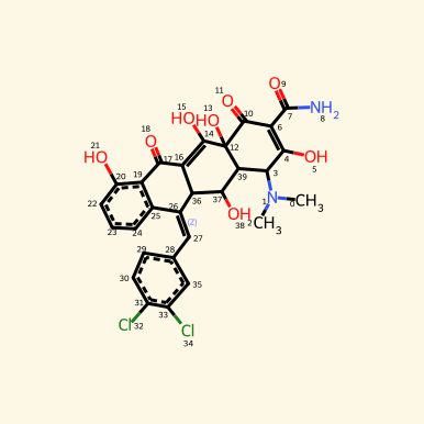 CN(C)C1C(O)=C(C(N)=O)C(=O)C2(O)C(O)=C3C(=O)c4c(O)cccc4/C(=C\c4ccc(Cl)c(Cl)c4)C3C(O)C12